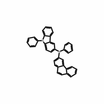 c1ccc(N(c2ccc3ccc4ccccc4c3c2)c2ccc3c(c2)c2ccccc2n3-c2ccccc2)cc1